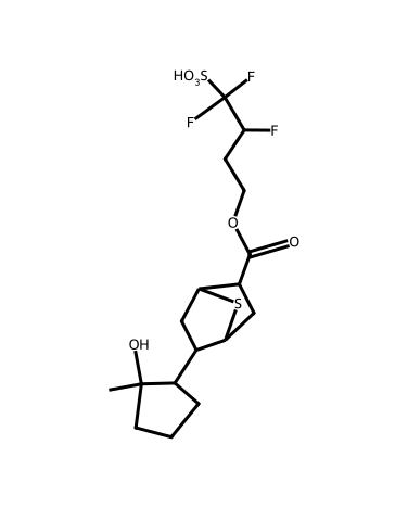 CC1(O)CCCC1C1CC2SC1CC2C(=O)OCCC(F)C(F)(F)S(=O)(=O)O